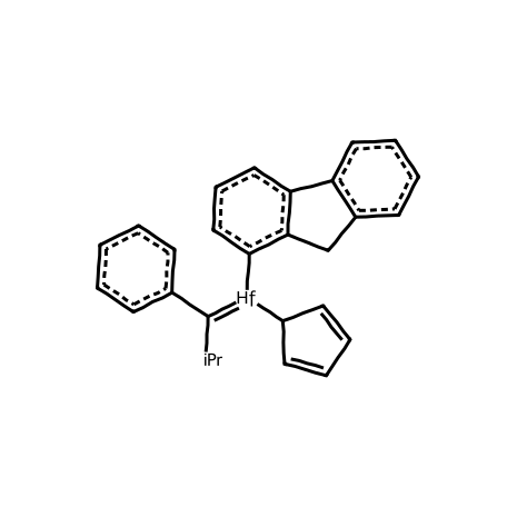 CC(C)[C](c1ccccc1)=[Hf]([c]1cccc2c1Cc1ccccc1-2)[CH]1C=CC=C1